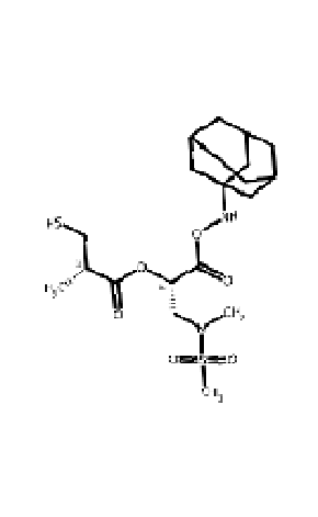 C[C@H](CS)C(=O)O[C@@H](CN(C)S(C)(=O)=O)C(=O)ONC12CC3CC(CC(C3)C1)C2